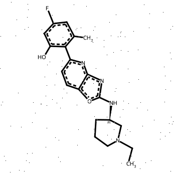 CCN1CCC[C@@H](Nc2nc3nc(-c4c(C)cc(F)cc4O)ccc3o2)C1